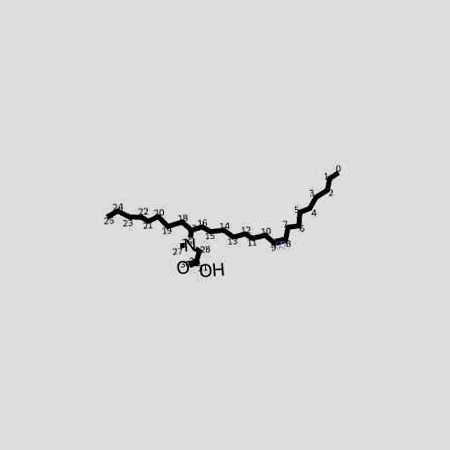 CCCCCCCC/C=C\CCCCCCCC(CCCCCCCC)N(C)CC(=O)O